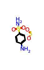 Nc1ccc(S(N)(=O)=O)cc1.O=S=O